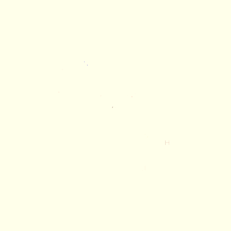 CSC(=CC(=O)c1cccnc1)SC